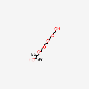 CCCC(O)C(CC)COCCOCCOCCOCCO